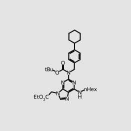 CCCCCCNc1nc(N(Cc2ccc(C3CCCCC3)cc2)C(=O)OC(C)(C)C)nc2c1ncn2CC(=O)OCC